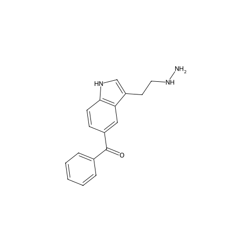 NNCCc1c[nH]c2ccc(C(=O)c3ccccc3)cc12